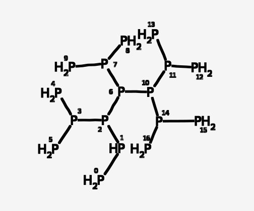 PPP(P(P)P)P(P(P)P)P(P(P)P)P(P)P